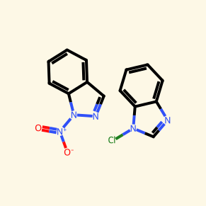 Cln1cnc2ccccc21.O=[N+]([O-])n1ncc2ccccc21